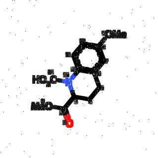 COC(=O)C1CCc2cc(OC)ccc2N1C(=O)O